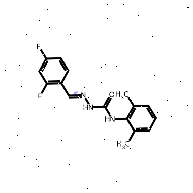 Cc1cccc(C)c1NC(=O)N/N=C/c1ccc(F)cc1F